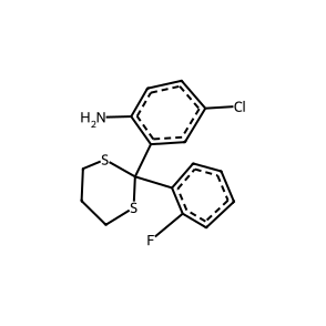 Nc1ccc(Cl)cc1C1(c2ccccc2F)SCCCS1